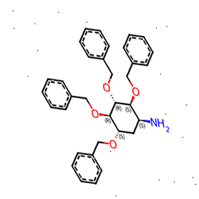 N[C@H]1C[C@H](OCc2ccccc2)[C@@H](OCc2ccccc2)[C@H](OCc2ccccc2)[C@H]1OCc1ccccc1